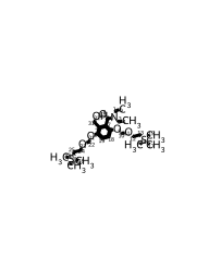 CCN(CC)C(=O)c1c(OCOCC[Si](C)(C)C)ccc(OCOCC[Si](C)(C)C)c1CO